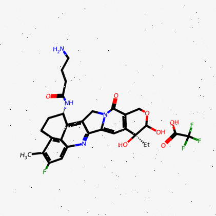 CC[C@]1(O)c2cc3n(c(=O)c2COC1O)Cc1c-3nc2cc(F)c(C)c3c2c1[C@@H](NC(=O)CCCN)CC3.O=C(O)C(F)(F)F